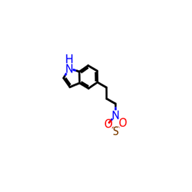 c1cc2cc(CCCN3OSO3)ccc2[nH]1